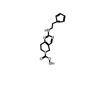 CC(C)(C)OC(=O)N1CCc2nc(NCCc3ccccc3)ncc2C1